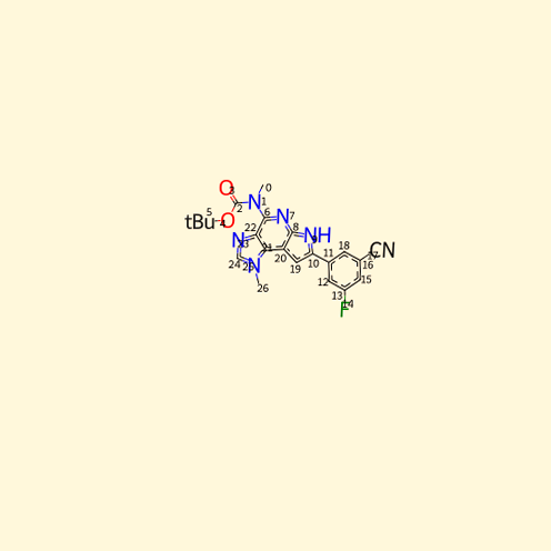 CN(C(=O)OC(C)(C)C)c1nc2[nH]c(-c3cc(F)cc(C#N)c3)cc2c2c1ncn2C